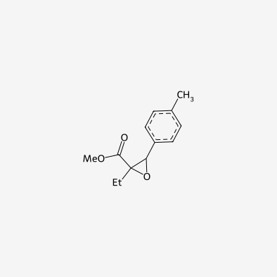 CCC1(C(=O)OC)OC1c1ccc(C)cc1